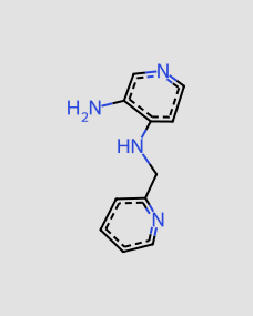 Nc1cnccc1NCc1ccccn1